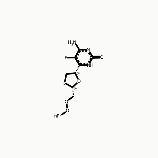 CCCOOC[C@H]1O[C@@H](c2[nH]c(=O)nc(N)c2F)CS1